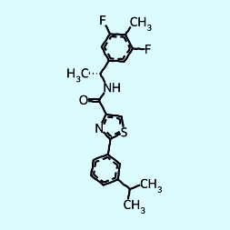 Cc1c(F)cc([C@@H](C)NC(=O)c2csc(-c3cccc(C(C)C)c3)n2)cc1F